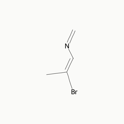 C=N/C=C(\C)Br